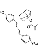 C=C(C)C(=O)OC12CC3CC(CC(C3)C1)C2.CC(C)(C)c1ccc(C=CC=Cc2ccc(O)cc2)cc1